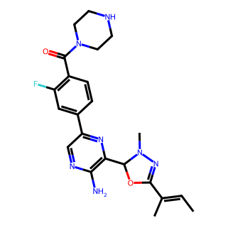 C/C=C(\C)C1=NN(C)C(c2nc(-c3ccc(C(=O)N4CCNCC4)c(F)c3)cnc2N)O1